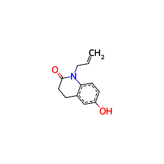 C=CCN1C(=O)CCc2cc(O)ccc21